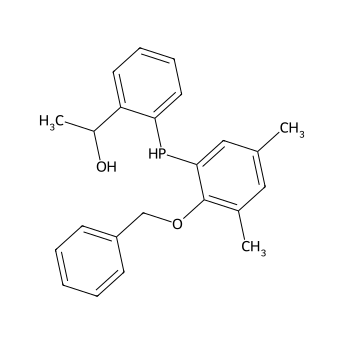 Cc1cc(C)c(OCc2ccccc2)c(Pc2ccccc2C(C)O)c1